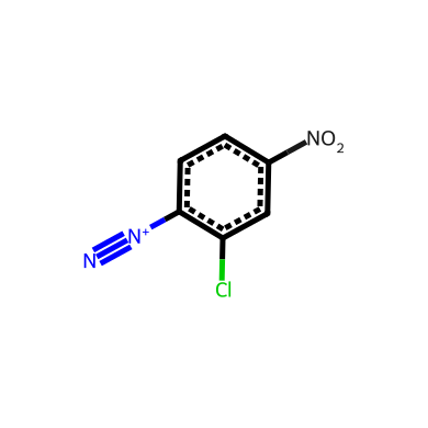 N#[N+]c1ccc([N+](=O)[O-])cc1Cl